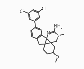 COC1CCC23Cc4ccc(-c5cc(Cl)cc(Cl)c5)cc4C24N=C(N)N(C)CC34C1